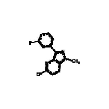 Cn1nc(-c2cccc(F)c2)c2nc(Cl)ccc21